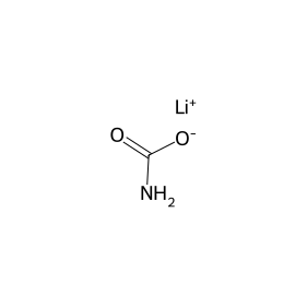 NC(=O)[O-].[Li+]